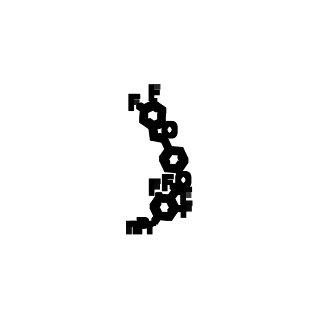 CCCc1cc(F)c(C(F)(F)Oc2ccc(-c3cc4cc(F)c(F)cc4o3)cc2)c(F)c1